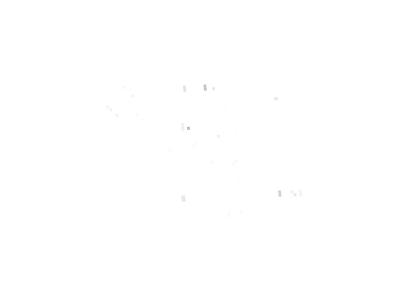 CCCCOc1cc2c3cc(OCCCC)c(OCCCC)cc3c3c(cc(OCCCC)c4oc(-c5ccc6ccccc6c5)nc43)c2cc1OCCCC